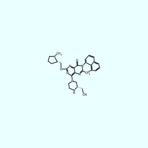 CN1CCC[C@H]1COc1nc(N2CCN[C@@H](CC#N)C2)c2nc(C(F)(F)F)n(-c3cccc4cccc(F)c34)c(=O)c2n1